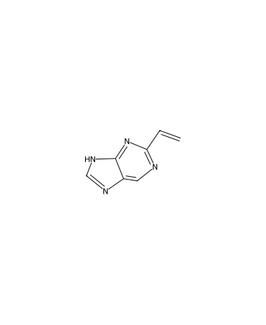 C=Cc1ncc2nc[nH]c2n1